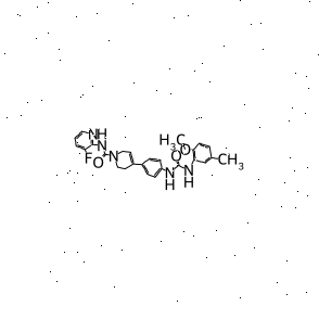 COc1ccc(C)cc1NC(=O)Nc1ccc(C2=CCN(C(=O)Nc3ncccc3F)CC2)cc1